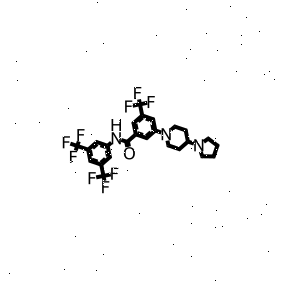 O=C(Nc1cc(C(F)(F)F)cc(C(F)(F)F)c1)c1cc(N2CCC(N3CCCC3)CC2)cc(C(F)(F)F)c1